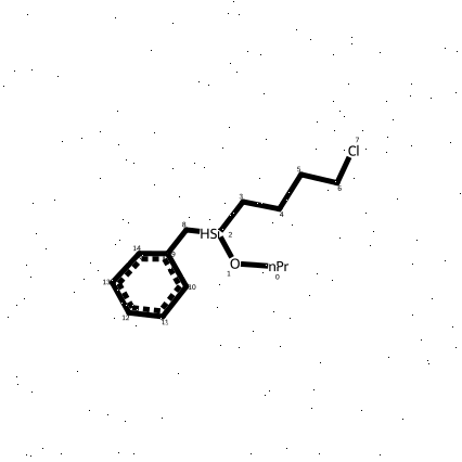 CCCO[SiH](CCCCCl)Cc1ccccc1